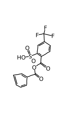 O=C(OC(=O)c1ccc(C(F)(F)F)cc1S(=O)(=O)O)c1ccccc1